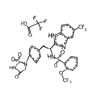 O=C(O)C(F)(F)F.O=C1CN(c2ccc(C[C@H](NS(=O)(=O)c3ccccc3OC(F)(F)F)c3nc4cc(C(F)(F)F)ccc4[nH]3)cc2)S(=O)(=O)N1